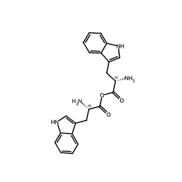 N[C@@H](Cc1c[nH]c2ccccc12)C(=O)OC(=O)[C@@H](N)Cc1c[nH]c2ccccc12